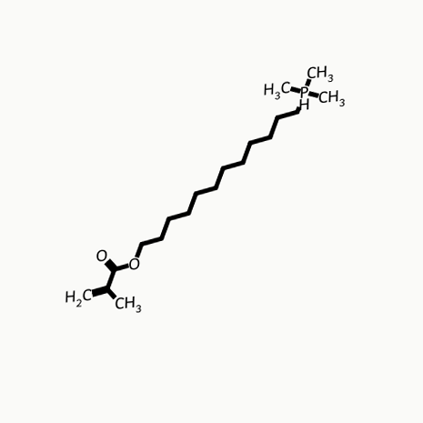 C=C(C)C(=O)OCCCCCCCCCCCC[PH](C)(C)C